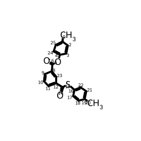 Cc1ccc(OC(=O)c2cccc(C(=O)Sc3ccc(C)cc3)c2)cc1